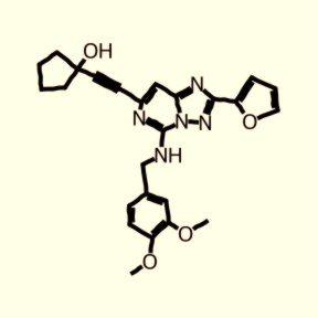 COc1ccc(CNc2nc(C#CC3(O)CCCC3)cc3nc(-c4ccco4)nn23)cc1OC